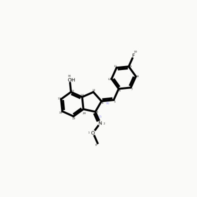 CO/N=C1/C(=C/c2ccc(F)cc2)Cc2c(O)cccc21